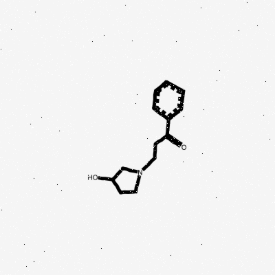 O=C(CCN1CCC(O)C1)c1ccccc1